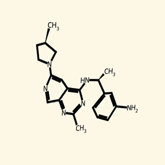 Cc1nc(N[C@@H](C)c2cccc(N)c2)c2cc(N3CC[C@@H](C)C3)ncc2n1